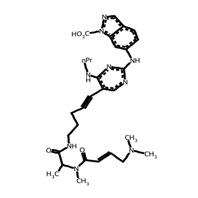 CCCNc1nc(Nc2ccc3cnn(C(=O)O)c3c2)ncc1C#CCCCNC(=O)C(C)N(C)C(=O)C=CCN(C)C